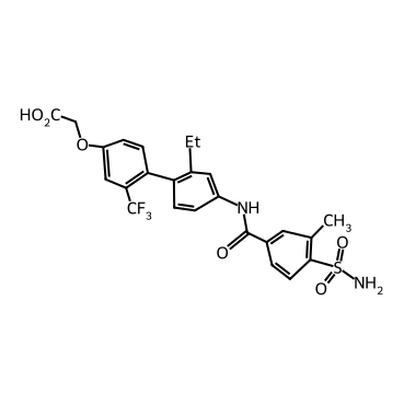 CCc1cc(NC(=O)c2ccc(S(N)(=O)=O)c(C)c2)ccc1-c1ccc(OCC(=O)O)cc1C(F)(F)F